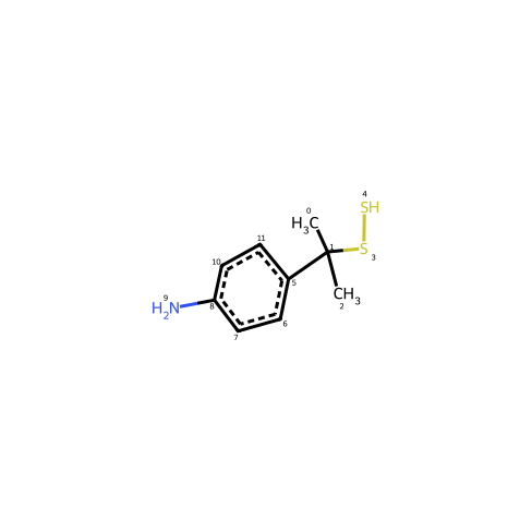 CC(C)(SS)c1ccc(N)cc1